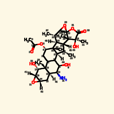 CC(=O)O[C@H]1CC2C([C@@H](O)[C@@H](N)[C@H]3C[C@@H]4O[C@@H]4[C@H](O)[C@]23C)[C@@H]2[C@@H](C)[C@@H]3[C@H]([C@H](C)[C@H]4O[C@]45OC(=O)[C@@](C)(O)[C@]35C)[C@@]12C